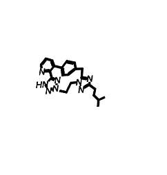 CCCn1nc(CCC(C)C)nc1Cc1ccc(-c2cccnc2-c2nnn[nH]2)cc1